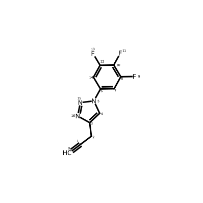 C#CCc1cn(-c2cc(F)c(F)c(F)c2)nn1